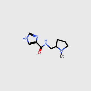 CCN1CCCC1CNC(=O)c1c[nH]cn1